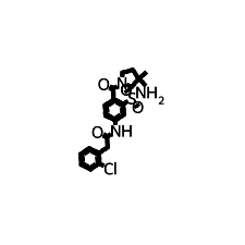 CC1(C)CCN(C(=O)c2ccc(NC(=O)Cc3ccccc3Cl)cc2S(N)(=O)=O)C1